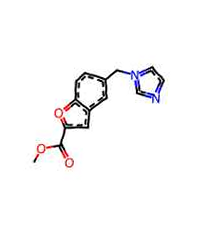 COC(=O)c1cc2cc(Cn3ccnc3)ccc2o1